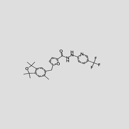 Cc1cc2c(cc1Cc1ccc(C(=O)NNc3ccc(C(F)(F)F)cn3)o1)C(C)(C)OC2(C)C